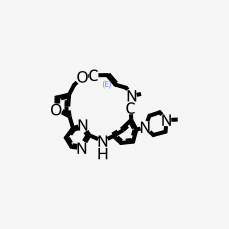 CN1CCN(c2ccc3cc2CN(C)C/C=C/COCc2coc(c2)-c2ccnc(n2)N3)CC1